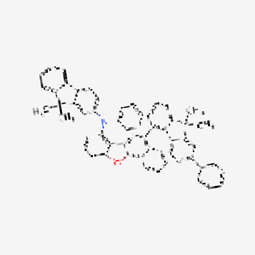 CC1(C)c2ccccc2-c2ccc(N(c3ccccc3)c3cccc4oc5c6ccccc6c(-c6cccc7c6-c6ccc(-c8ccccc8)cc6C7(C)C)cc5c34)cc21